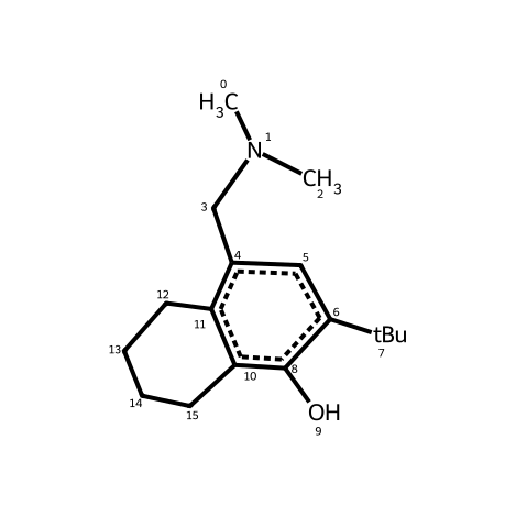 CN(C)Cc1cc(C(C)(C)C)c(O)c2c1CCCC2